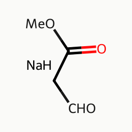 COC(=O)CC=O.[NaH]